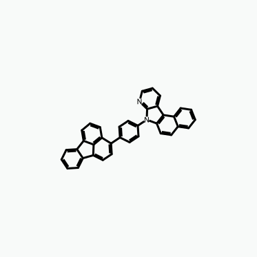 c1ccc2c(c1)-c1cccc3c(-c4ccc(-n5c6ccc7ccccc7c6c6cccnc65)cc4)ccc-2c13